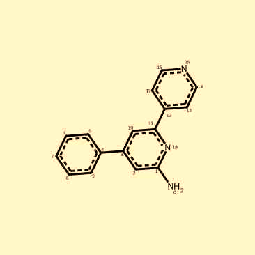 Nc1cc(-c2ccccc2)cc(-c2ccncc2)n1